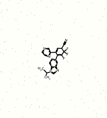 CC(C)n1cnc2cc(C3=C(F)C(F)(F)C(C#N)C=C3c3cnccn3)ccc21